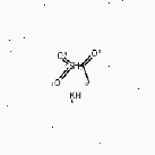 CC(=O)[SH](=O)=O.[KH]